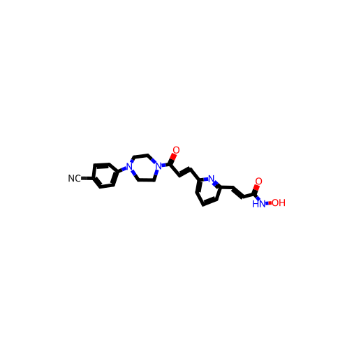 N#Cc1ccc(N2CCN(C(=O)C=Cc3cccc(C=CC(=O)NO)n3)CC2)cc1